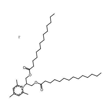 CCCCCCCCCCCCCC(=O)OCC(COC(=O)CCCCCCCCCCCCC)[n+]1c(C)cc(C)cc1C.[I-]